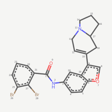 O=C(Nc1ccc2occ(C3=CCN4CCCC4C3)c2c1)c1cccc(Br)c1Br